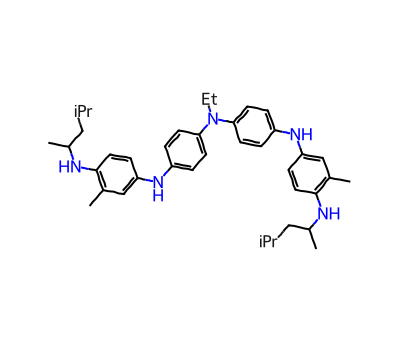 CCN(c1ccc(Nc2ccc(NC(C)CC(C)C)c(C)c2)cc1)c1ccc(Nc2ccc(NC(C)CC(C)C)c(C)c2)cc1